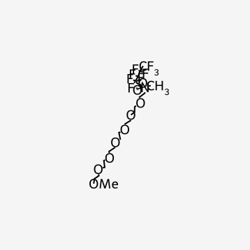 COCCOCCOCCOCCOCCOCCOCCN(C)S(=O)(=O)C(F)(F)C(F)(F)C(F)(F)C(F)(F)F